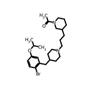 CC(=O)N1CCCC(CCCN2CCC(Cc3cc(OC(C)C)ccc3Br)CC2)C1